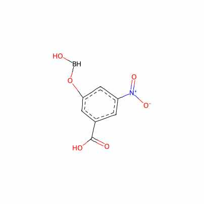 O=C(O)c1cc(OBO)cc([N+](=O)[O-])c1